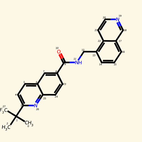 CC(C)(c1ccc2cc(C(=O)NCc3cccc4cnccc34)ccc2n1)C(F)(F)F